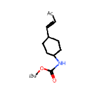 CC(=O)C=CC1CCC(NC(=O)OC(C)(C)C)CC1